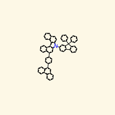 c1ccc(C2(c3ccccc3)c3ccccc3-c3ccc(-n4c5ccc6ccccc6c5c5c6ccccc6c(-c6ccc(-c7cc8ccccc8c8ccccc78)cc6)cc54)cc32)cc1